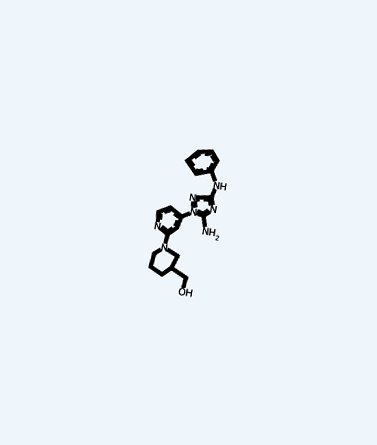 Nc1nc(Nc2ccccc2)nn1-c1ccnc(N2CCCC(CO)C2)c1